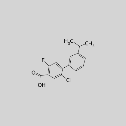 CC(C)c1cccc(-c2cc(F)c(C(=O)O)cc2Cl)c1